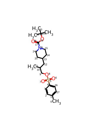 Cc1ccc(S(=O)(=O)OCC(C)CC2CCN(C(=O)OC(C)(C)C)CC2)cc1